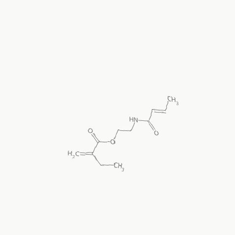 C=C(CC)C(=O)OCCNC(=O)C=CC